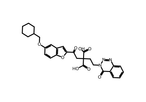 O=C(CC(CCn1nnc2ccccc2c1=O)(C(=O)O)C(=O)O)c1cc2cc(OCC3CCCCC3)ccc2o1